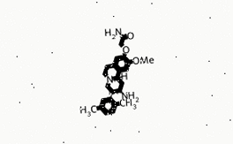 COc1cc2c(cc1OCC(N)=O)CCN1C[C@@H](c3cc(C)ccc3C)[C@H](N)C[C@H]21